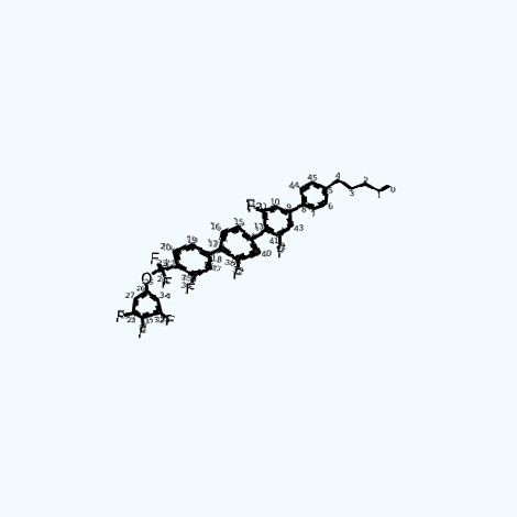 CCCCCc1ccc(-c2cc(F)c(-c3ccc(-c4ccc(C(F)(F)Oc5cc(F)c(F)c(F)c5)c(F)c4)c(F)c3)c(F)c2)cc1